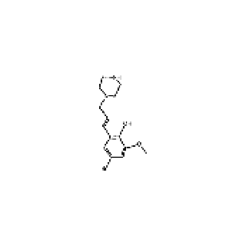 COc1cc(Br)cc(C=CCN2CCNCC2)c1O